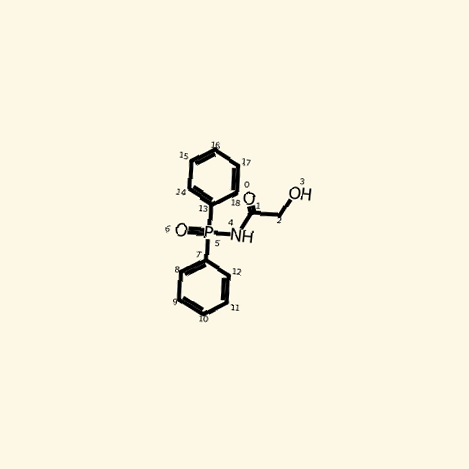 O=C(CO)NP(=O)(c1ccccc1)c1ccccc1